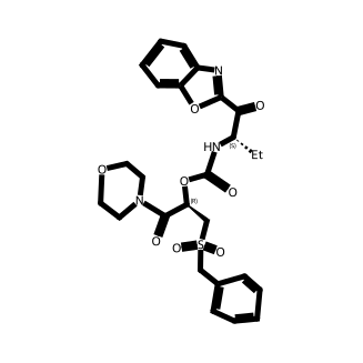 CC[C@H](NC(=O)O[C@@H](CS(=O)(=O)Cc1ccccc1)C(=O)N1CCOCC1)C(=O)c1nc2ccccc2o1